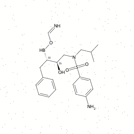 CC(C)CN(C[C@@H](O)[C@@H](BOC=N)Cc1ccccc1)S(=O)(=O)c1ccc(N)cc1